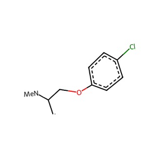 [CH2]C(COc1ccc(Cl)cc1)NC